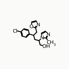 Cc1nccn1C(CO)CC(Cc1ncco1)c1ccc(Cl)cc1